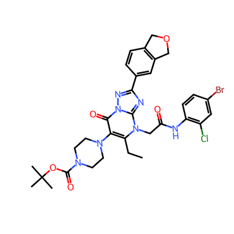 CCc1c(N2CCN(C(=O)OC(C)(C)C)CC2)c(=O)n2nc(-c3ccc4c(c3)COC4)nc2n1CC(=O)Nc1ccc(Br)cc1Cl